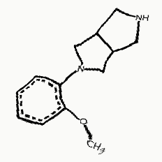 COc1ccccc1N1CC2CNCC2C1